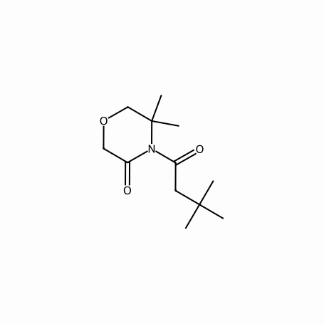 CC(C)(C)CC(=O)N1C(=O)COCC1(C)C